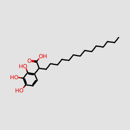 CCCCCCCCCCCCCCC(C(=O)O)c1ccc(O)c(O)c1O